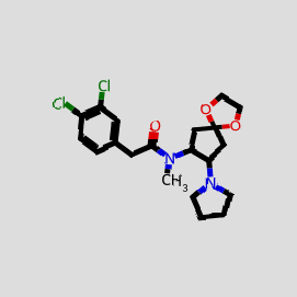 CN(C(=O)Cc1ccc(Cl)c(Cl)c1)C1CC2(CC1N1CCCC1)OCCO2